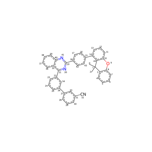 CC1(C)c2ccccc2Oc2cccc(-c3ccc(-c4nc(-c5cccc(-c6cccc(C#N)c6)c5)c5ccccc5n4)cc3)c21